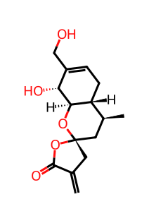 C=C1C[C@@]2(C[C@H](C)[C@H]3CC=C(CO)[C@@H](O)[C@@H]3O2)OC1=O